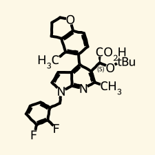 Cc1nc2c(ccn2Cc2cccc(F)c2F)c(-c2ccc3c(c2C)CCCO3)c1[C@H](OC(C)(C)C)C(=O)O